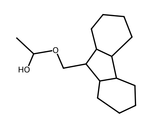 CC(O)OCC1C2CCCCC2C2CCCCC21